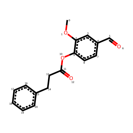 COc1cc(C=O)ccc1OC(=O)CCc1ccccc1